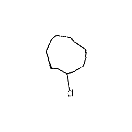 ClC1[CH]CCCCC1